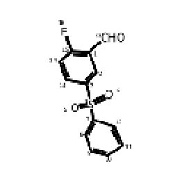 O=Cc1cc(S(=O)(=O)c2ccccc2)ccc1F